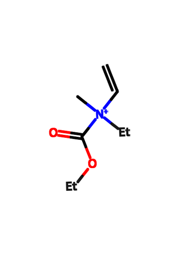 C=C[N+](C)(CC)C(=O)OCC